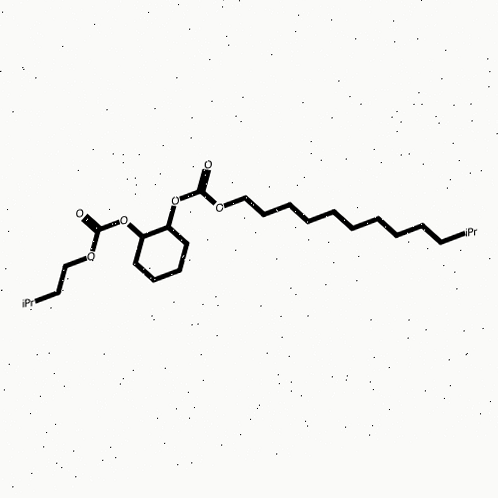 CC(C)CCCCCCCCCCOC(=O)OC1CCCCC1OC(=O)OCCC(C)C